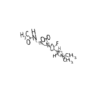 CC(=O)NC[C@H]1CN(c2ccc([C@H]3[C@@H]4CN(N(C)C)C[C@@H]43)c(F)c2)C(=O)O1